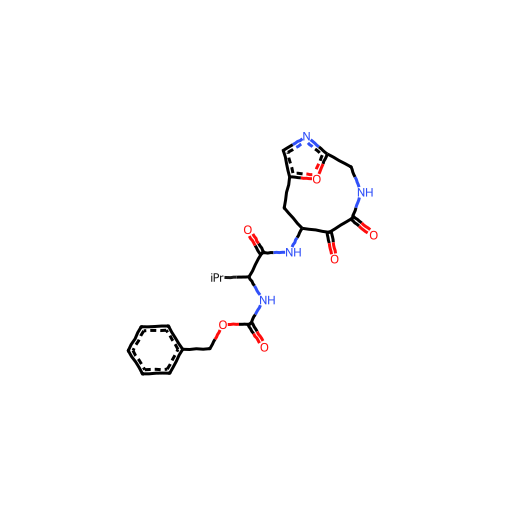 CC(C)C(NC(=O)OCc1ccccc1)C(=O)NC1Cc2cnc(o2)CNC(=O)C1=O